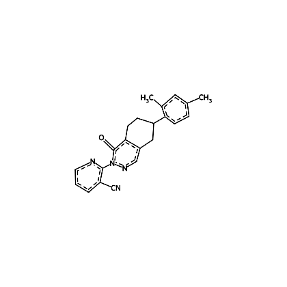 Cc1ccc(C2CCc3c(cnn(-c4ncccc4C#N)c3=O)C2)c(C)c1